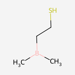 CB(C)CCS